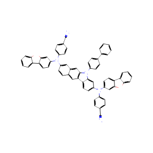 N#Cc1ccc(N(c2ccc3cc4c5ccc(N(c6ccc(C#N)cc6)c6ccc7c(c6)oc6ccccc67)cc5n(-c5ccc(-c6ccccc6)cc5)c4cc3c2)c2ccc3c(c2)oc2ccccc23)cc1